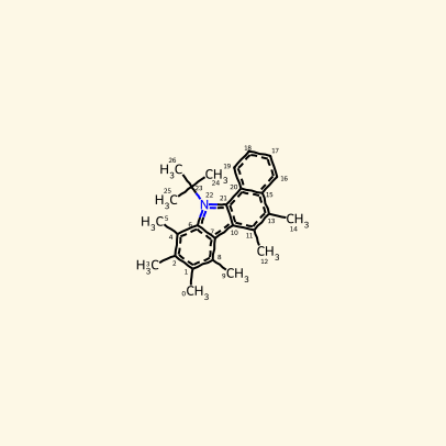 Cc1c(C)c(C)c2c(c1C)c1c(C)c(C)c3ccccc3c1n2C(C)(C)C